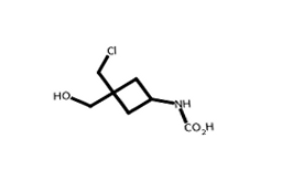 O=C(O)NC1CC(CO)(CCl)C1